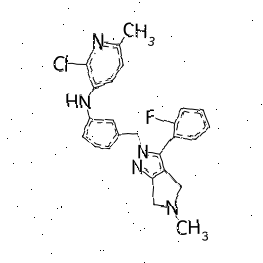 Cc1ccc(Nc2cccc(Cn3nc4c(c3-c3ccccc3F)CN(C)C4)c2)c(Cl)n1